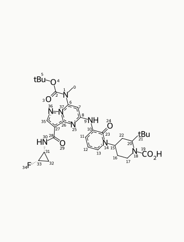 CN(C(=O)OC(C)(C)C)c1cc(Nc2cccn(C3CCN(C(=O)O)C(C(C)(C)C)C3)c2=O)nc2c(C(=O)N[C@@H]3C[C@@H]3F)cnn12